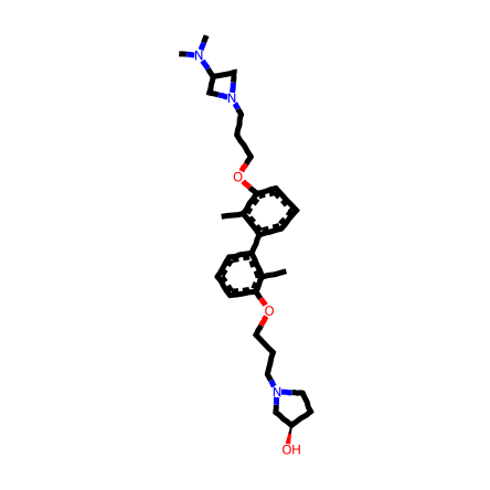 Cc1c(OCCCN2CC(N(C)C)C2)cccc1-c1cccc(OCCCN2CC[C@@H](O)C2)c1C